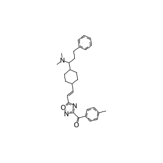 Cc1ccc(C(=O)c2noc(C=CC3CCC(C(CCc4ccccc4)N(C)C)CC3)n2)cc1